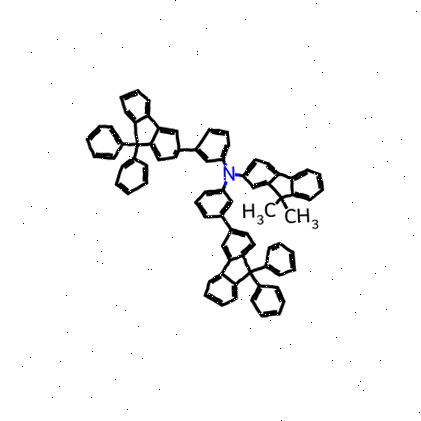 CC1(C)c2ccccc2-c2ccc(N(c3cccc(-c4ccc5c(c4)-c4ccccc4C5(c4ccccc4)c4ccccc4)c3)c3cccc(-c4ccc5c(c4)-c4ccccc4C5(c4ccccc4)c4ccccc4)c3)cc21